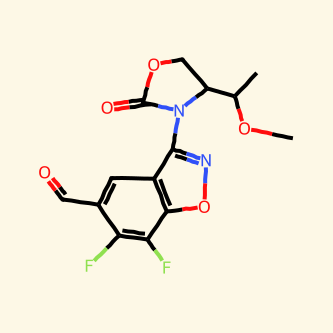 COC(C)C1COC(=O)N1c1noc2c(F)c(F)c(C=O)cc12